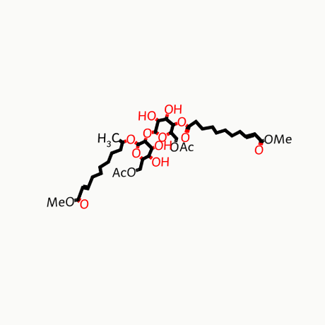 COC(=O)/C=C/CCCCCCCC(=O)OC1C(COC(C)=O)OC(OC2C(OC(C)CCCCCC/C=C/C(=O)OC)OC(COC(C)=O)C(O)C2O)C(O)C1O